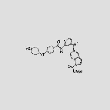 CNC(=O)n1ccc2cc(N(C)c3ccnc(NC(=O)c4ccc(OC5CCNCC5)cc4)c3)ccc21